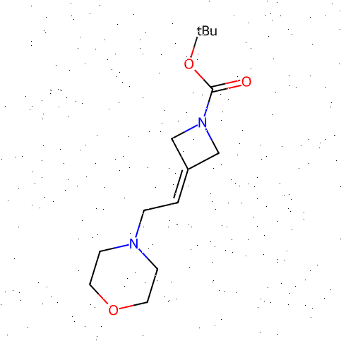 CC(C)(C)OC(=O)N1CC(=CCN2CCOCC2)C1